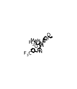 C=CC(=O)N1CC2C3[C@H](n4nc(-c5cnn(Cc6cccc(C(F)(F)F)c6)c5)c(C(N)=O)c4NC)C[C@]23C1